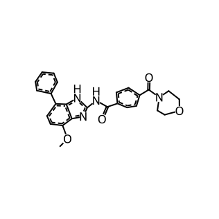 COc1ccc(-c2ccccc2)c2[nH]c(NC(=O)c3ccc(C(=O)N4CCOCC4)cc3)nc12